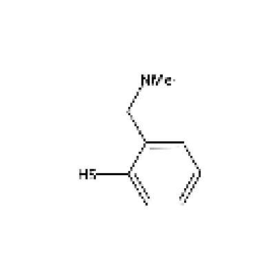 C[N]Cc1ccccc1S